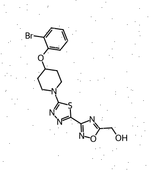 OCc1nc(-c2nnc(N3CCC(Oc4ccccc4Br)CC3)s2)no1